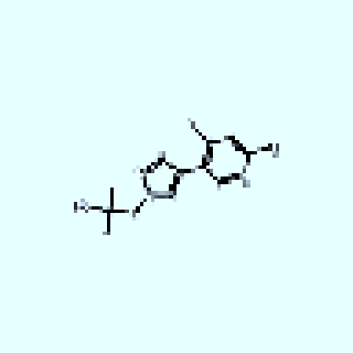 CC(C)(O)Cn1cc(-c2cnc(Cl)cc2F)cn1